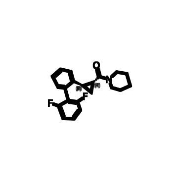 O=C([C@@H]1C[C@H]1c1ccccc1-c1c(F)cccc1F)N1CCCCC1